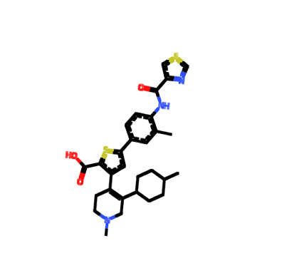 Cc1cc(-c2cc(C3=C(C4CCC(C)CC4)CN(C)CC3)c(C(=O)O)s2)ccc1NC(=O)c1cscn1